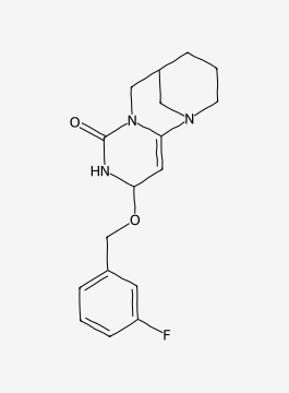 O=C1NC(OCc2cccc(F)c2)C=C2N3CCCC(C3)CN12